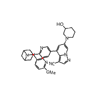 COc1ccc(CN2C3CC2CN(c2ccc(-c4cc(N5CCCC(O)C5)cn5ncc(C#N)c45)cn2)C3)cn1